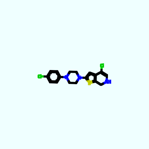 ClC1=CNCc2sc(N3CCN(c4ccc(Cl)cc4)CC3)cc21